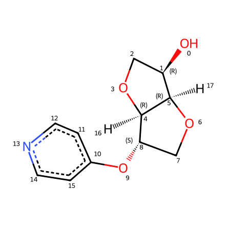 O[C@@H]1CO[C@H]2[C@@H]1OC[C@@H]2Oc1ccncc1